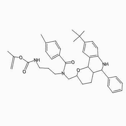 C=C(C)OC(=O)NCCCN(CC1CCC2C(c3ccccc3)Nc3ccc(C(C)(C)C)cc3C2O1)C(=O)c1ccc(C)cc1